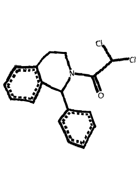 O=C(C(Cl)Cl)N1CCc2ccccc2C1c1ccccc1